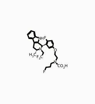 C[C@@H]1Cc2c([nH]c3ccccc23)[C@@H](c2cc(OCCN(CCCF)C(=O)O)ccc2F)N1CC(F)(F)F